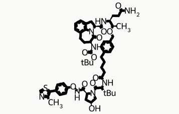 Cc1ncsc1-c1ccc(ONC(=O)[C@@H]2C[C@@H](O)CN2C(=O)C(NC(=O)CCCCc2ccc(CO[C@H](C)[C@H](CCC(N)=O)NC(=O)[C@@H]3Cc4cccc5c4N3C(=O)[C@@H](NC(=O)OC(C)(C)C)CC5)cc2)C(C)(C)C)cc1